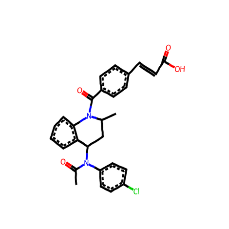 CC(=O)N(c1ccc(Cl)cc1)C1CC(C)N(C(=O)c2ccc(C=CC(=O)O)cc2)c2ccccc21